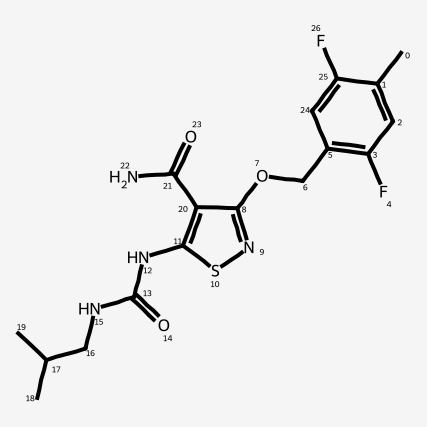 Cc1cc(F)c(COc2nsc(NC(=O)NCC(C)C)c2C(N)=O)cc1F